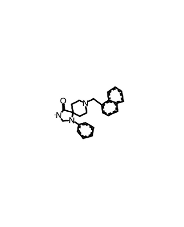 O=C1[N]CN(c2ccccc2)C12CCN(Cc1cccc3ccccc13)CC2